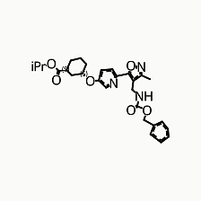 Cc1noc(-c2ccc(O[C@H]3CCC[C@H](C(=O)OC(C)C)C3)cn2)c1CNC(=O)OCc1ccccc1